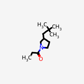 CCC(=O)N1CCC(CC(C)(C)C)C1